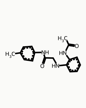 CC(=O)Nc1ccccc1NCC(=O)Nc1ccc(C)cc1